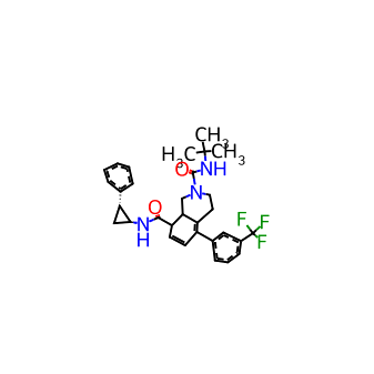 CC(C)(C)NC(=O)N1CCC2=C(c3cccc(C(F)(F)F)c3)C=CC(C(=O)N[C@H]3C[C@@H]3c3ccccc3)C2C1